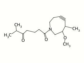 COC1CN(C(=O)CCCC(=O)C(C)C)CCC#CC1C